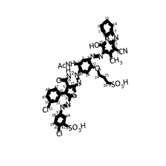 CC(=O)Nc1cc(N=Nc2c(C)c(C#N)c3nc4ccccc4n3c2O)c(OCCCS(=O)(=O)O)cc1N=Nc1sc(N=Nc2ccc(Cl)c(S(=O)(=O)O)c2)c(-c2cccc(Cl)c2)c1C(N)=O